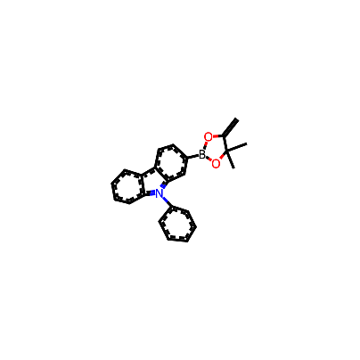 C=C1OB(c2ccc3c4ccccc4n(-c4ccccc4)c3c2)OC1(C)C